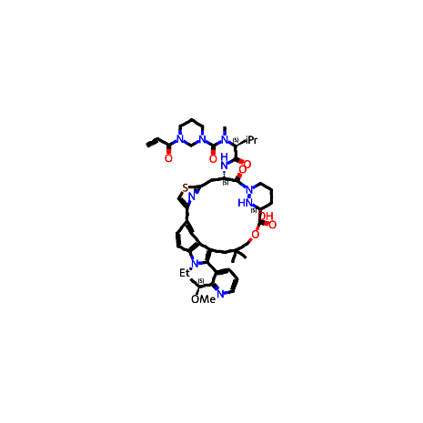 C=CC(=O)N1CCCN(C(=O)N(C)[C@H](C(=O)N[C@H]2Cc3nc(cs3)-c3ccc4c(c3)c(c(-c3cccnc3[C@H](C)OC)n4CC)CC(C)(C)COC(=O)[C@@]3(O)CCCN(N3)C2=O)C(C)C)C1